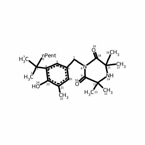 CCCCCC(C)(C)c1cc(CN2C(=O)C(C)(C)NC(C)(C)C2=O)cc(C)c1O